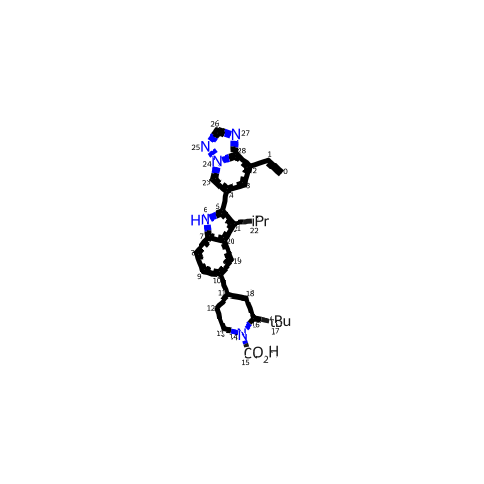 C=Cc1cc(-c2[nH]c3ccc(C4CCN(C(=O)O)C(C(C)(C)C)C4)cc3c2C(C)C)cn2ncnc12